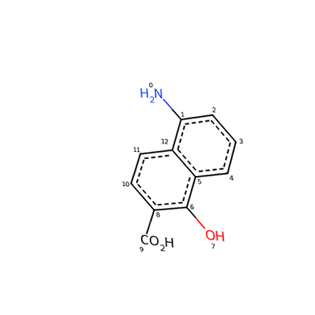 Nc1cccc2c(O)c(C(=O)O)ccc12